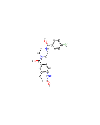 O=C1CCc2cc(C(=O)N3CCN(C(=O)c4ccc(Br)cc4)CC3)ccc2N1